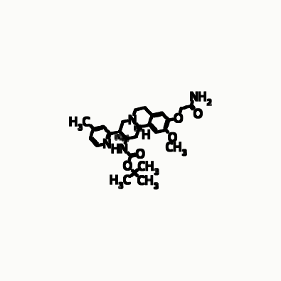 COc1cc2c(cc1OCC(N)=O)CCN1C[C@H](c3cc(C)ccn3)[C@H](NC(=O)OC(C)(C)C)C[C@H]21